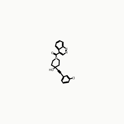 O=C(c1cnnc2ccccc12)N1CCC(O)(C#Cc2cccc(Cl)c2)CC1